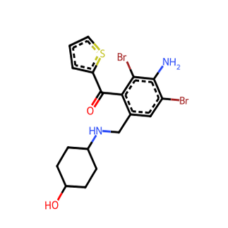 Nc1c(Br)cc(CNC2CCC(O)CC2)c(C(=O)c2cccs2)c1Br